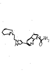 NC(=O)n1c[c]c2cc(-c3cnn(CCN4CCCC4)c3)cnc21